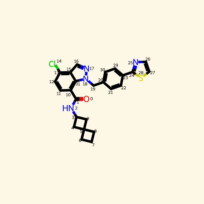 O=C(NC1CC2(CCC2)C1)c1ccc(Cl)c2cnn(Cc3ccc(-c4nccs4)cc3)c12